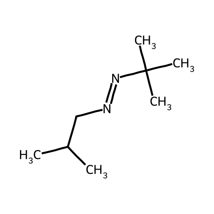 CC(C)CN=NC(C)(C)C